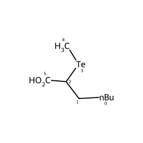 CCCCCC([Te]C)C(=O)O